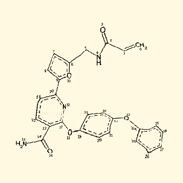 C=CC(=O)NCc1ccc(-c2ccc(C(N)=O)c(Oc3ccc(Oc4ccccc4)cc3)n2)o1